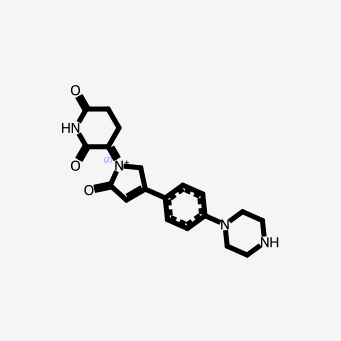 O=C1CC/C(=[N+]2\CC(c3ccc(N4CCNCC4)cc3)=CC2=O)C(=O)N1